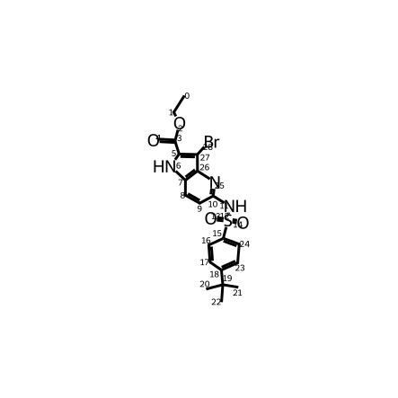 CCOC(=O)c1[nH]c2ccc(NS(=O)(=O)c3ccc(C(C)(C)C)cc3)nc2c1Br